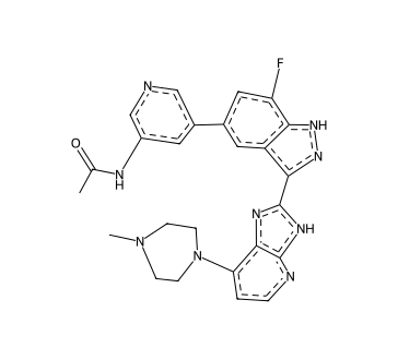 CC(=O)Nc1cncc(-c2cc(F)c3[nH]nc(-c4nc5c(N6CCN(C)CC6)ccnc5[nH]4)c3c2)c1